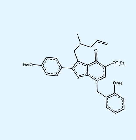 C=CCN(C)Cc1c(-c2ccc(OC)cc2)sc2c1c(=O)c(C(=O)OCC)cn2Cc1ccccc1OC